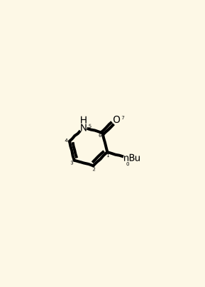 CCCCc1ccc[nH]c1=O